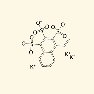 C=Cc1c(S(=O)(=O)[O-])c(S(=O)(=O)[O-])c(S(=O)(=O)[O-])c2ccccc12.[K+].[K+].[K+]